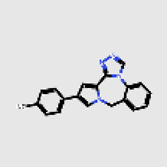 N#Cc1ccc(-c2cc3n(c2)Cc2ccccc2-n2cnnc2-3)cc1